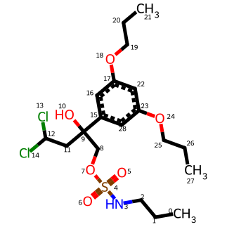 CCCNS(=O)(=O)OCC(O)(CC(Cl)Cl)c1cc(OCCC)cc(OCCC)c1